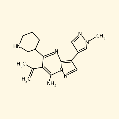 C=C(C)c1c(C2CCCNC2)nc2c(-c3cnn(C)c3)cnn2c1N